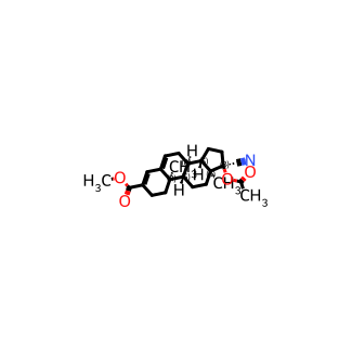 COC(=O)C1=CC2=CC[C@@H]3[C@H](CC[C@@]4(C)[C@H]3CC[C@@]4(C#N)OC(C)=O)[C@@]2(C)CC1